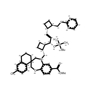 COC(=O)c1ccc2c(c1)N(C[C@@H]1CC[C@H]1[C@H](/C=C/[C@@H]1CC[C@H]1CSc1ncccn1)O[Si](C)(C)C(C)(C)C)CC1(CCCc3cc(Cl)ccc31)CO2